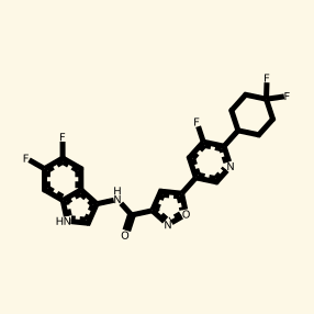 O=C(Nc1c[nH]c2cc(F)c(F)cc12)c1cc(-c2cnc(C3CCC(F)(F)CC3)c(F)c2)on1